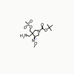 CO/N=C1\CN(C(=O)OC(C)(C)C)CC1(CN)COS(C)(=O)=O